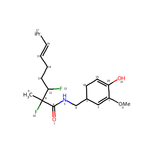 COC1=CC(CNC(=O)C(C)(F)C(F)CC/C=C/C(C)C)CC=C1O